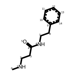 CNCCC(=O)NCCc1ccccc1